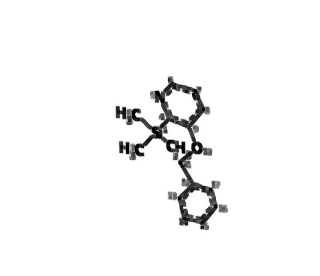 C[Si](C)(C)c1ncccc1OCc1ccccc1